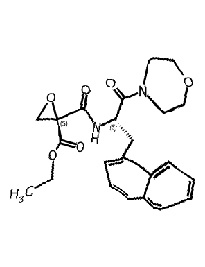 CCOC(=O)[C@@]1(C(=O)N[C@@H](Cc2cccc3ccccc23)C(=O)N2CCOCC2)CO1